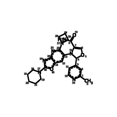 Cc1cc(C2OC=C(C(N)=O)N2c2cc3oc(N4CCCCC4)nc3nc2N2CCC2)ccn1